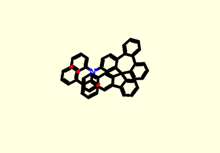 c1ccc(-c2ccccc2N(c2ccccc2)c2ccc3c(c2)C2(c4ccccc4-c4ccccc4-3)c3ccccc3-c3cc4ccccc4cc32)cc1